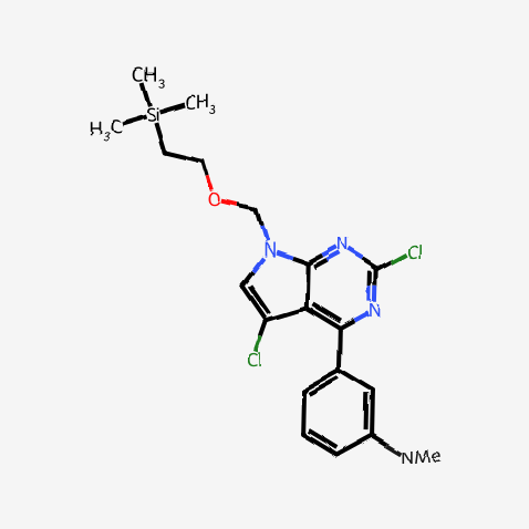 CNc1cccc(-c2nc(Cl)nc3c2c(Cl)cn3COCC[Si](C)(C)C)c1